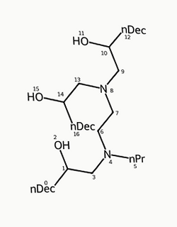 CCCCCCCCCCC(O)CN(CCC)CCN(CC(O)CCCCCCCCCC)CC(O)CCCCCCCCCC